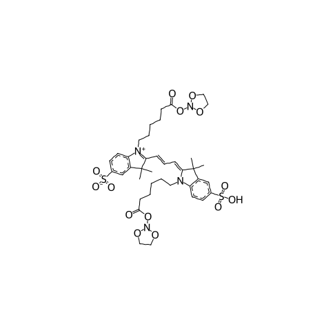 CC1(C)C(=CC=CC2=[N+](CCCCCC(=O)ON3OCCO3)c3ccc(S(=O)(=O)[O-])cc3C2(C)C)N(CCCCCC(=O)ON2OCCO2)c2ccc(S(=O)(=O)O)cc21